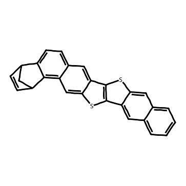 C1=CC2CC1c1ccc3cc4c(cc3c12)sc1c2cc3ccccc3cc2sc41